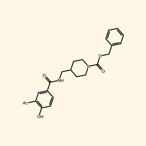 CC(=O)c1cc(C(=O)NCC2CCN(C(=O)OCc3ccccc3)CC2)ccc1O